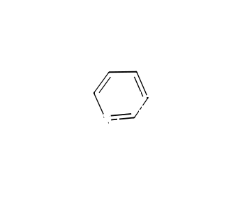 [c]1ccc[c]n1